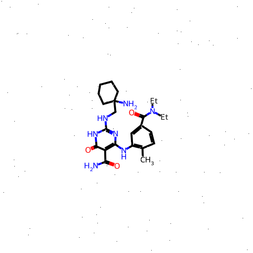 CCN(CC)C(=O)c1ccc(C)c(Nc2nc(NCC3(N)CCCCC3)[nH]c(=O)c2C(N)=O)c1